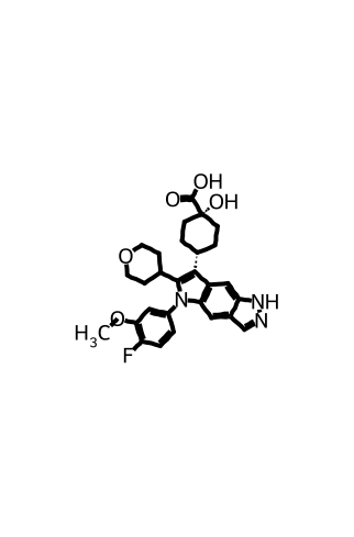 COc1cc(-n2c(C3CCOCC3)c([C@H]3CC[C@](O)(C(=O)O)CC3)c3cc4[nH]ncc4cc32)ccc1F